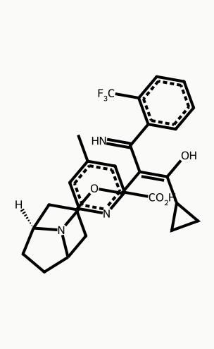 Cc1cc(C(=O)O)nc(N2C3CC[C@H]2CC(OC/C(C(=N)c2ccccc2C(F)(F)F)=C(/O)C2CC2)C3)c1